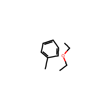 CCOCC.Cc1ccccc1